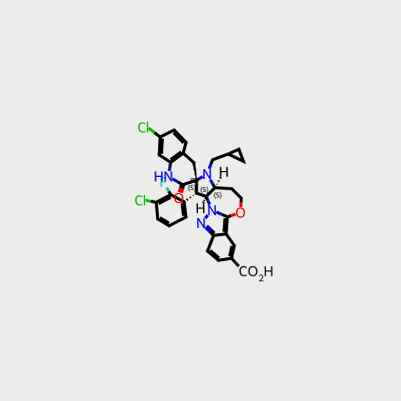 O=C(O)c1ccc2nn3c(c2c1)OCC[C@H]1[C@@H]3[C@H](c2cccc(Cl)c2F)[C@@]2(Cc3ccc(Cl)cc3NC2=O)N1CC1CC1